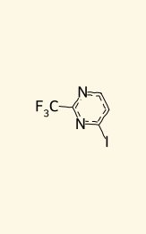 FC(F)(F)c1nccc(I)n1